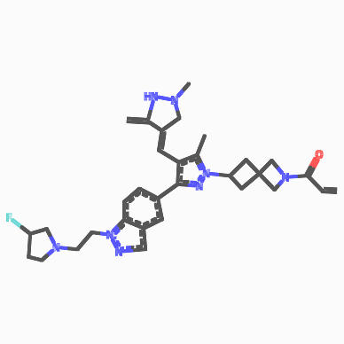 C=CC(=O)N1CC2(CC(n3nc(-c4ccc5c(cnn5CCN5CCC(F)C5)c4)c(/C=C4\CN(C)NC4=C)c3C)C2)C1